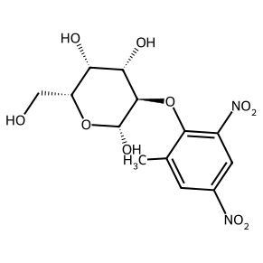 Cc1cc([N+](=O)[O-])cc([N+](=O)[O-])c1O[C@@H]1[C@@H](O)[C@@H](O)[C@@H](CO)O[C@H]1O